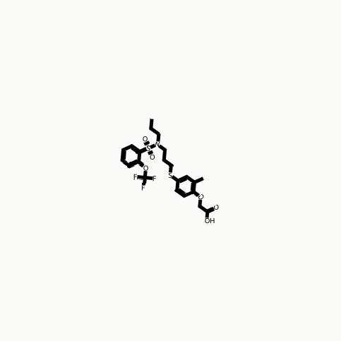 CCCN(CCCSc1ccc(OCC(=O)O)c(C)c1)S(=O)(=O)c1ccccc1OC(F)(F)F